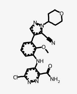 COc1c(Nc2cc(Cl)nnc2C(N)=O)cccc1-c1cnn(C2CCOCC2)c1C#N